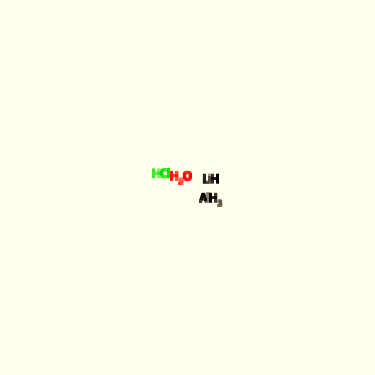 Cl.O.[AlH3].[LiH]